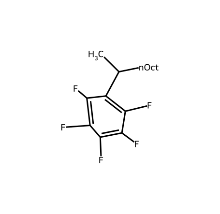 CCCCCCCCC(C)c1c(F)c(F)c(F)c(F)c1F